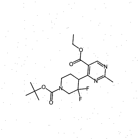 CCOC(=O)c1cnc(C)nc1C1CCN(C(=O)OC(C)(C)C)CC1(F)F